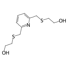 OCCSCc1cccc(CSCCO)n1